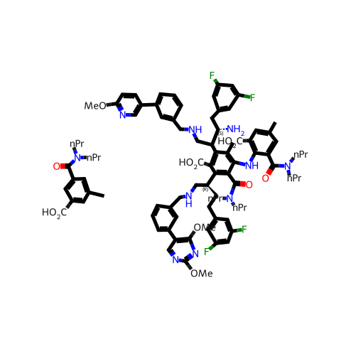 CCCN(CCC)C(=O)c1cc(C)cc(C(=O)O)c1.CCCN(CCC)C(=O)c1cc(C)cc(C(=O)O)c1Nc1c(C)c(C(CNCc2cccc(-c3ccc(OC)nc3)c2)[C@@H](N)Cc2cc(F)cc(F)c2)c(C(=O)O)c([C@@H](CCc2cc(F)cc(F)c2)CNCc2cccc(-c3cnc(OC)nc3OC)c2)c1C(=O)N(CCC)CCC